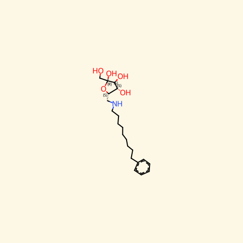 OC[C@@]1(O)O[C@@H](CNCCCCCCCCCc2ccccc2)[C@@H](O)[C@@H]1O